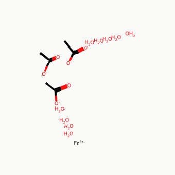 CC(=O)[O-].CC(=O)[O-].CC(=O)[O-].O.O.O.O.O.O.O.O.O.[Fe+3]